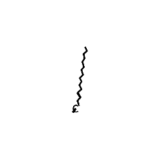 C=C=CCC=CCCCCCCCCCCCC